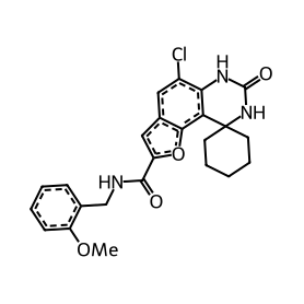 COc1ccccc1CNC(=O)c1cc2cc(Cl)c3c(c2o1)C1(CCCCC1)NC(=O)N3